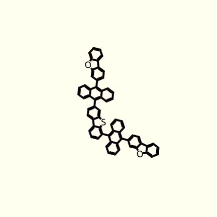 c1ccc2c(c1)oc1cc(-c3c4ccccc4c(-c4ccc5c(c4)sc4c(-c6c7ccccc7c(-c7ccc8c(c7)oc7ccccc78)c7ccccc67)cccc45)c4ccccc34)ccc12